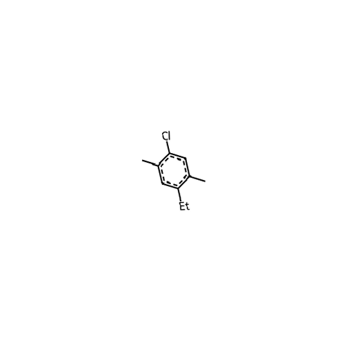 CCc1cc(C)c(Cl)cc1C